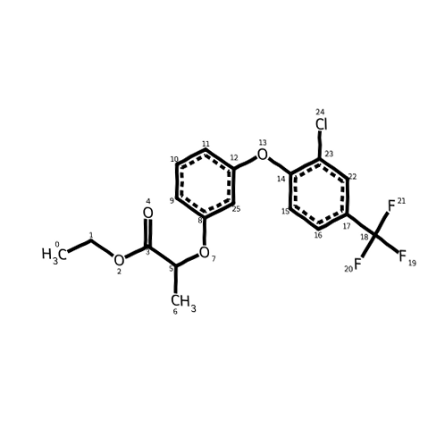 CCOC(=O)C(C)Oc1cccc(Oc2ccc(C(F)(F)F)cc2Cl)c1